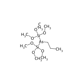 CCC[As]([Si](OC)(OC)OC)[Si](OC)(OC)OC